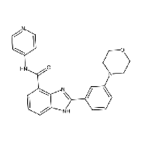 O=C(Nc1ccncc1)c1cccc2[nH]c(-c3cccc(N4CCOCC4)c3)nc12